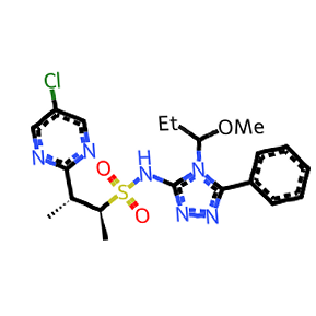 CCC(OC)n1c(NS(=O)(=O)[C@@H](C)[C@H](C)c2ncc(Cl)cn2)nnc1-c1ccccc1